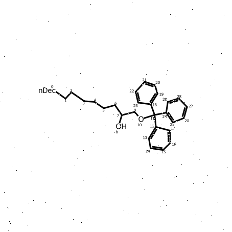 CCCCCCCCCCCCCCCCC(O)COC(c1ccccc1)(c1ccccc1)c1ccccc1